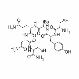 CC[C@H](C)[C@H](NC(=O)[C@H](Cc1ccc(O)cc1)NC(=O)[C@@H](N)CS)C(=O)N[C@@H](CCC(N)=O)C(=O)N[C@@H](CC(N)=O)C(=O)N[C@@H](CS)C(N)=O